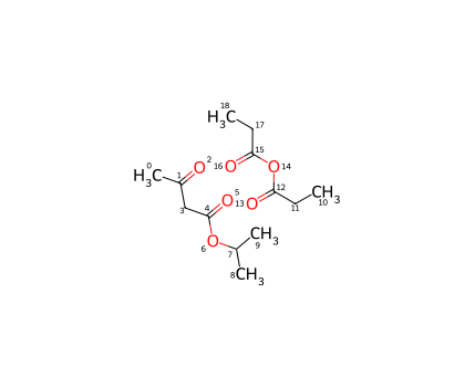 CC(=O)CC(=O)OC(C)C.CCC(=O)OC(=O)CC